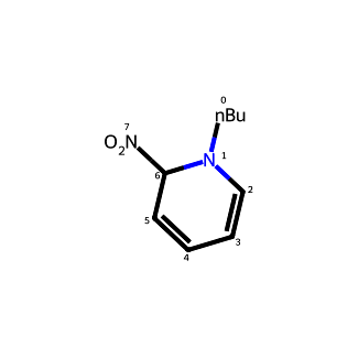 CCCCN1C=CC=CC1[N+](=O)[O-]